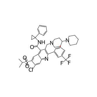 CC(C)S(=O)(=O)c1cc2c(C(=O)NC3(c4ccccc4)CC3)c(CN3CCC(N4CCCCC4)CC3)c(-c3cccc(C(F)(F)F)c3)nc2cc1Cl